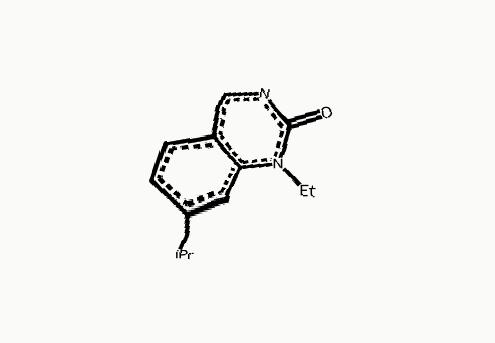 CCn1c(=O)ncc2ccc(C(C)C)cc21